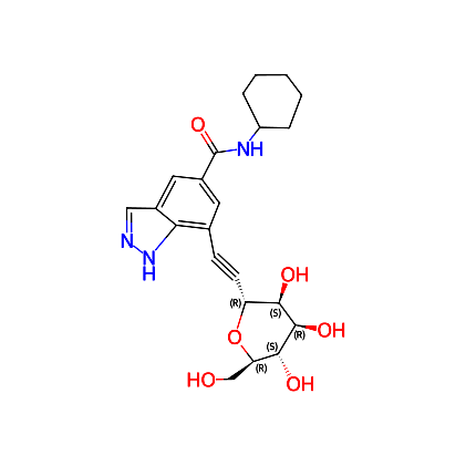 O=C(NC1CCCCC1)c1cc(C#C[C@H]2O[C@H](CO)[C@@H](O)[C@H](O)[C@@H]2O)c2[nH]ncc2c1